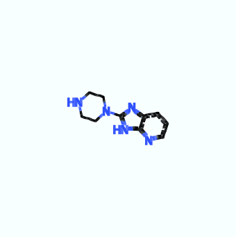 c1cnc2[nH]c(N3CCNCC3)nc2c1